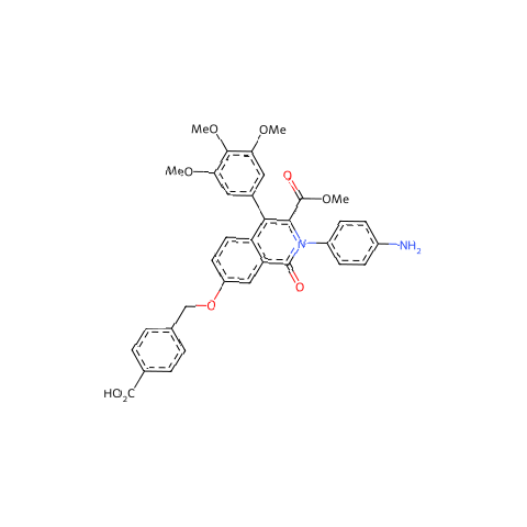 COC(=O)c1c(-c2cc(OC)c(OC)c(OC)c2)c2ccc(OCc3ccc(C(=O)O)cc3)cc2c(=O)n1-c1ccc(N)cc1